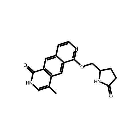 O=C1CCC(COc2nccc3cc4c(=O)[nH]cc(I)c4cc23)N1